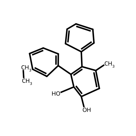 CC.Cc1cc(O)c(O)c(-c2ccccc2)c1-c1ccccc1